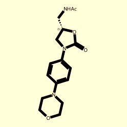 CC(=O)NC[C@H]1CN(c2ccc(N3CCOCC3)cc2)C(=O)O1